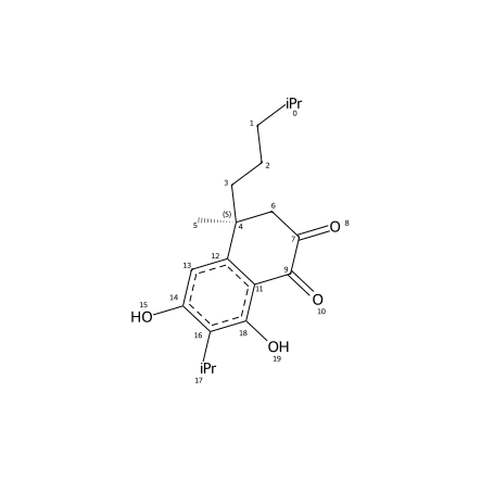 CC(C)CCC[C@@]1(C)CC(=O)C(=O)c2c1cc(O)c(C(C)C)c2O